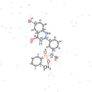 Cc1ccccc1S(=O)(=O)N(Br)c1cccc(-c2nc3ccc(Br)cc3c(=O)[nH]2)c1